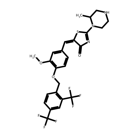 COc1cc(/C=C2/SC(N3CCNCC3C)=NC2=O)ccc1OCc1ccc(C(F)(F)F)cc1C(F)(F)F